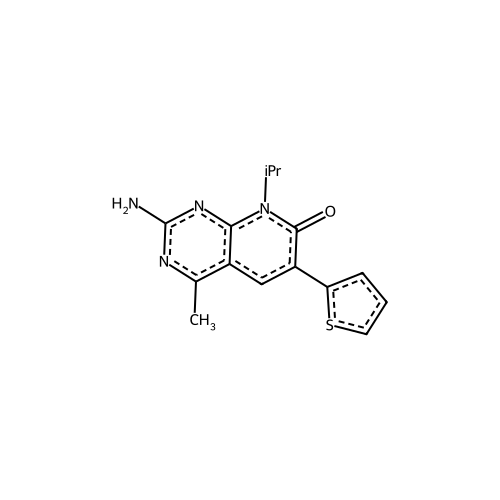 Cc1nc(N)nc2c1cc(-c1cccs1)c(=O)n2C(C)C